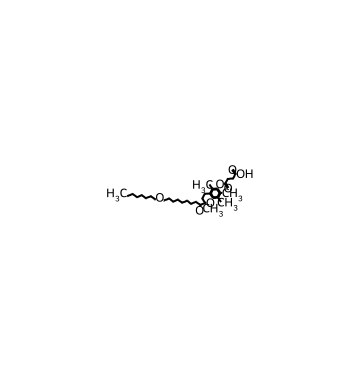 CCCCCCCCOCCCCCCCCC(=O)C1(C)CCc2c(C)c(OC(=O)CCC(=O)O)c(C)c(C)c2O1